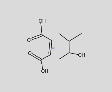 CC(C)C(C)O.O=C(O)/C=C\C(=O)O